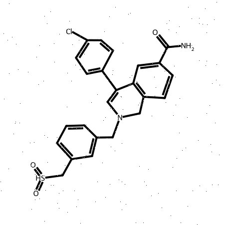 NC(=O)c1ccc2c(c1)C(c1ccc(Cl)cc1)=CN(Cc1cccc(C[SH](=O)=O)c1)C2